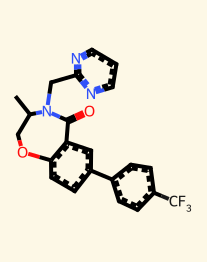 CC1COc2ccc(-c3ccc(C(F)(F)F)cc3)cc2C(=O)N1Cc1ncccn1